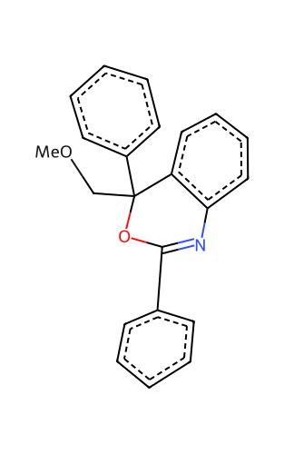 COCC1(c2ccccc2)OC(c2ccccc2)=Nc2ccccc21